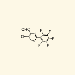 O=Cc1cc(-c2c(F)c(F)c(F)c(F)c2F)ccc1Cl